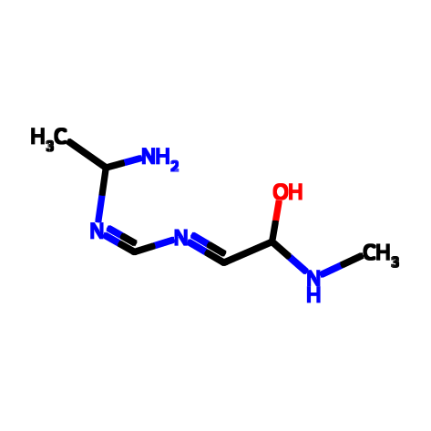 CNC(O)/C=N/C=N\C(C)N